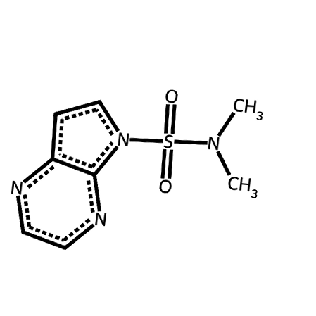 CN(C)S(=O)(=O)n1ccc2nccnc21